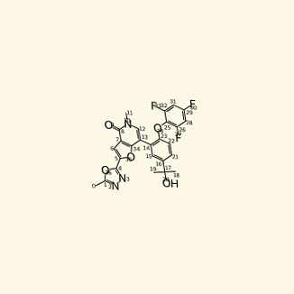 Cc1nnc(-c2cc3c(=O)n(C)cc(-c4cc(C(C)(C)O)ccc4Oc4c(F)cc(F)cc4F)c3o2)o1